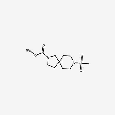 CC(C)(C)OC(=O)N1CCC2(CCN(S(C)(=O)=O)CC2)C1